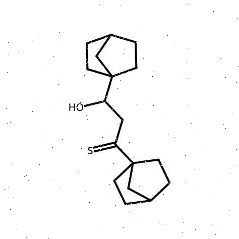 OC(CC(=S)C12CCC(CC1)C2)C12CCC(CC1)C2